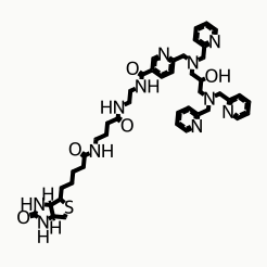 O=C(CCCCC1SC[C@@H]2NC(=O)N[C@H]12)NCCCC(=O)NCCNC(=O)c1ccc(CN(Cc2ccccn2)CC(O)CN(Cc2ccccn2)Cc2ccccn2)nc1